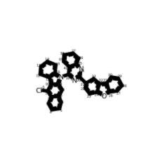 Clc1c2ccccc2cc2c1c1ccccc1n2-c1nc(-c2ccc3oc4ccccc4c3c2)nc2ccccc12